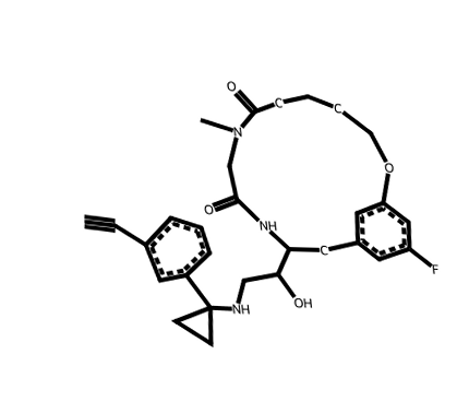 C#Cc1cccc(C2(NCC(O)C3Cc4cc(F)cc(c4)OCCCCC(=O)N(C)CC(=O)N3)CC2)c1